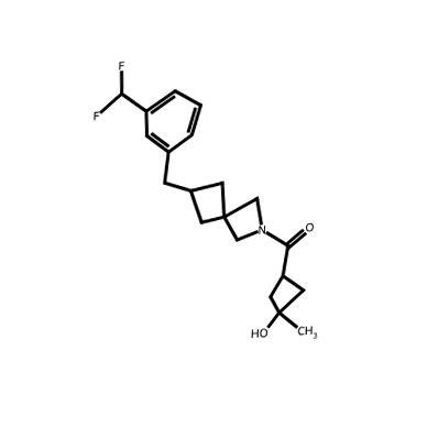 CC1(O)CC(C(=O)N2CC3(CC(Cc4cccc(C(F)F)c4)C3)C2)C1